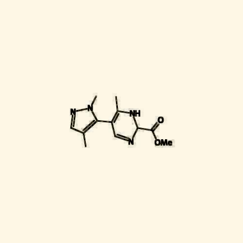 COC(=O)C1N=CC(c2c(C)cnn2C)=C(C)N1